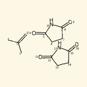 C=C(C)C.O=C1CCC(=O)N1.O=C1CCC(=O)N1